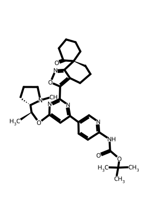 C[C@H](Oc1cc(-c2ccc(NC(=O)OC(C)(C)C)nc2)nc(-c2onc3c2CCC[C@@]32CCCCC2=O)n1)[C@@H]1CCCN1C